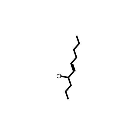 CCCCC=CC(Cl)CCC